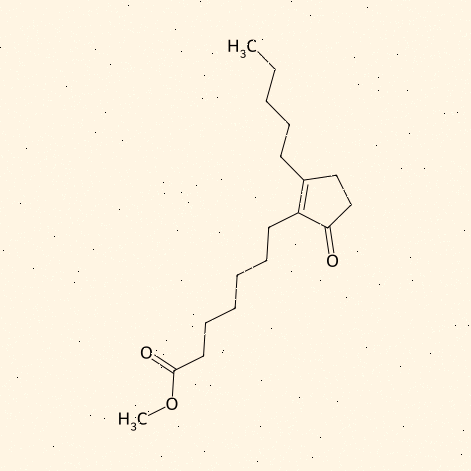 CCCCCC1=C(CCCCCCC(=O)OC)C(=O)CC1